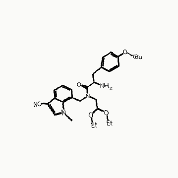 CCOC(CN(Cc1cccc2c(C#N)cn(C)c12)C(=O)C(N)Cc1ccc(OC(C)(C)C)cc1)OCC